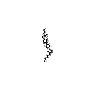 CCC=CC(=O)Oc1ccc(-c2ccc(-c3ccc(CCCCC)s3)cc2)cc1